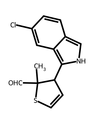 CC1(C=O)SC=CC1c1[nH]cc2ccc(Cl)cc12